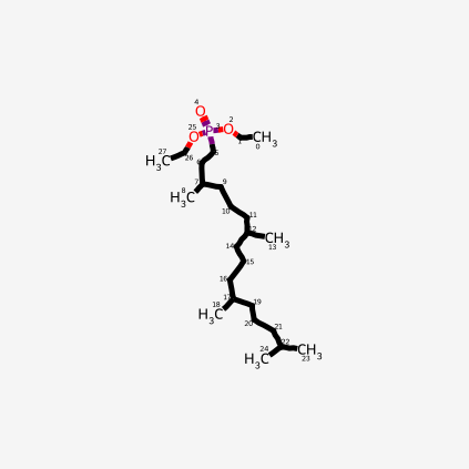 CCOP(=O)(CCC(C)CCCC(C)CCCC(C)CCCC(C)C)OCC